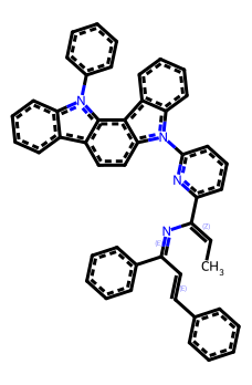 C\C=C(/N=C(\C=C\c1ccccc1)c1ccccc1)c1cccc(-n2c3ccccc3c3c2ccc2c4ccccc4n(-c4ccccc4)c23)n1